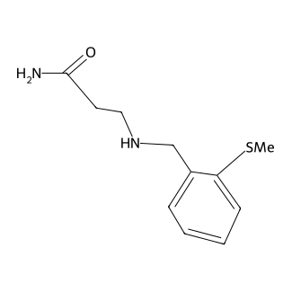 [CH2]Sc1ccccc1CNCCC(N)=O